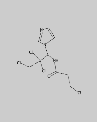 O=C(CCCl)NC(n1ccnc1)C(Cl)(Cl)CCl